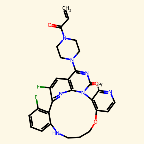 C=CC(=O)N1CCN(c2nc(=O)n3c4nc(c(F)cc24)-c2c(F)cccc2NCCCOc2ccnc(C(C)C)c2-3)CC1